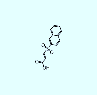 O=C(O)C=CS(=O)(=O)c1ccc2ccccc2c1